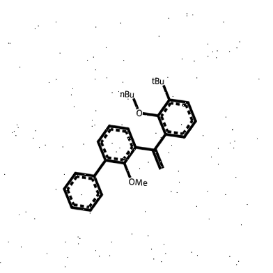 C=C(c1cccc(-c2ccccc2)c1OC)c1cccc(C(C)(C)C)c1OCCCC